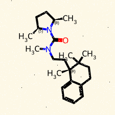 C[C@@H]1CC[C@H](C)N1C(=O)N(C)CC[C@@]1(C)c2ccccc2CCC1(C)C